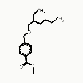 CCCCC(CC)COCc1ccc(C(=O)OI)cc1